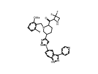 COc1cccc(F)c1CN1CC(c2cn(-c3ccc4[nH]nc(-c5ccncc5)c4c3)nn2)CCC1C(=O)C1NCC1(F)F